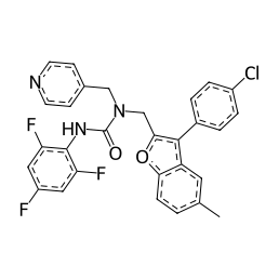 Cc1ccc2oc(CN(Cc3ccncc3)C(=O)Nc3c(F)cc(F)cc3F)c(-c3ccc(Cl)cc3)c2c1